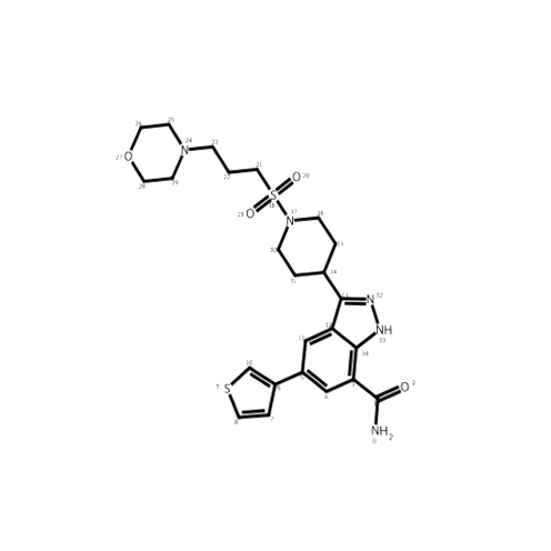 NC(=O)c1cc(-c2ccsc2)cc2c(C3CCN(S(=O)(=O)CCCN4CCOCC4)CC3)n[nH]c12